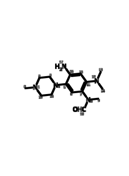 CN1CCN(c2cc(N(C)C=O)c(N(C)C)cc2N)CC1